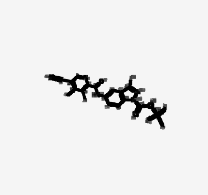 Cc1c(C#N)cnc(C(=O)Nc2ccc3c(c2)c(I)nn3C(=O)OC(C)(C)C)c1C